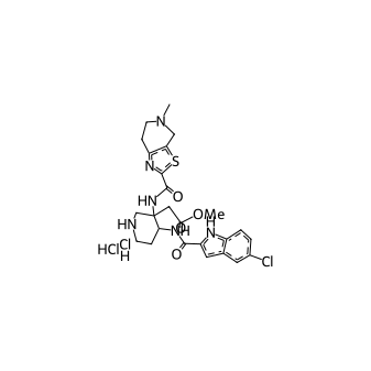 COC(=O)CC1(NC(=O)c2nc3c(s2)CN(C)CC3)CNCCC1NC(=O)c1cc2cc(Cl)ccc2[nH]1.Cl.Cl